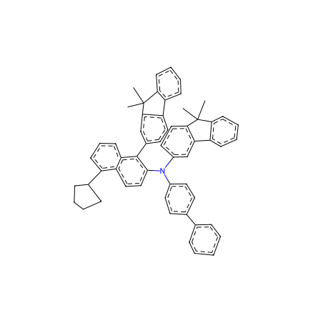 CC1(C)c2ccccc2-c2cc(N(c3ccc(-c4ccccc4)cc3)c3ccc4c(C5CCCC5)cccc4c3-c3ccc4c(c3)C(C)(C)c3ccccc3-4)ccc21